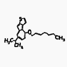 CCCCCCCOc1ccc(C(C)C)cc2cc3sccc3c1-2